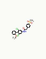 CS(=O)(=O)c1ccc(CC(=O)Nc2cc(Cl)c(-c3ccccc3OC(F)(F)F)c(Cl)c2)cc1